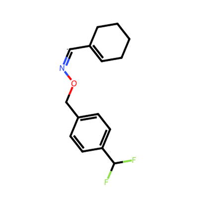 FC(F)c1ccc(CO/N=[C]\C2=CCCCC2)cc1